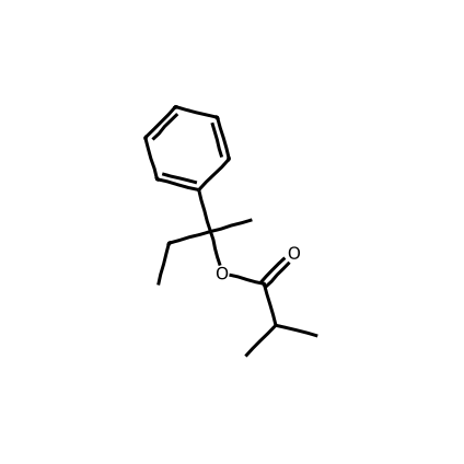 CCC(C)(OC(=O)C(C)C)c1ccccc1